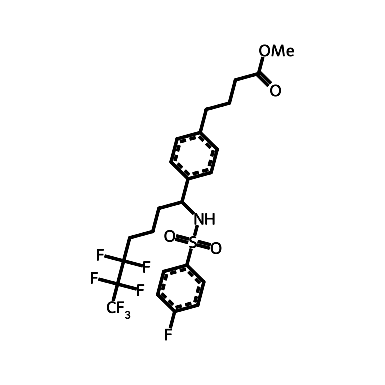 COC(=O)CCCc1ccc(C(CCCC(F)(F)C(F)(F)C(F)(F)F)NS(=O)(=O)c2ccc(F)cc2)cc1